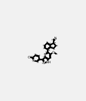 COc1cc2[nH]nc(-c3ccc(Cl)nc3)c2nc1-c1cccc2c1CCC2C#N